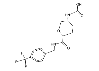 O=C(O)N[C@@H]1CC[C@H](C(=O)NCc2ccc(C(F)(F)F)cc2)OC1